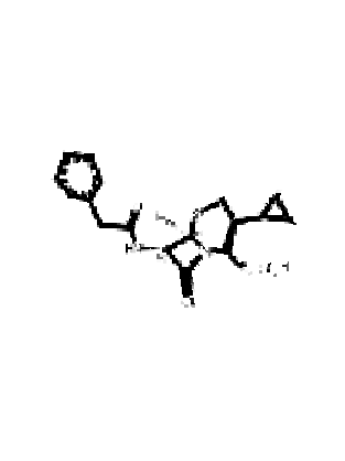 O=C(Cc1ccccc1)N[C@@H]1C(=O)N2C(C(=O)O)=C(C3CC3)CS[C@H]12